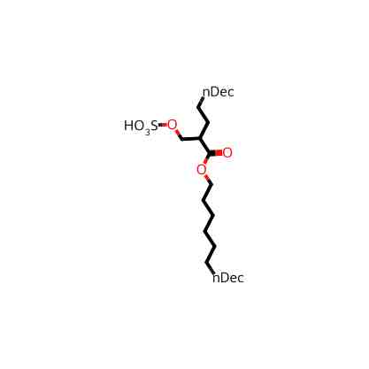 CCCCCCCCCCCCCCCCOC(=O)C(CCCCCCCCCCCC)COS(=O)(=O)O